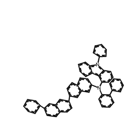 c1ccc(-c2ccc3ccc(-c4ccc5ccc(N(c6ccccc6-c6ccccc6)c6cccc7c6c6ccccc6n7-c6ccccc6)cc5c4)cc3c2)cc1